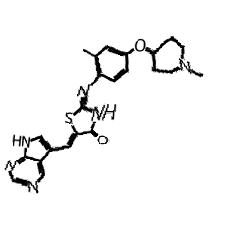 Cc1cc(OC2CCN(C)CC2)ccc1N=C1NC(=O)C(=Cc2c[nH]c3ncncc23)S1